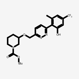 Cc1cc(C(F)(F)F)cc(O)c1-c1ccc(COC2CCCN(C(=O)OC(C)(C)C)C2)nn1